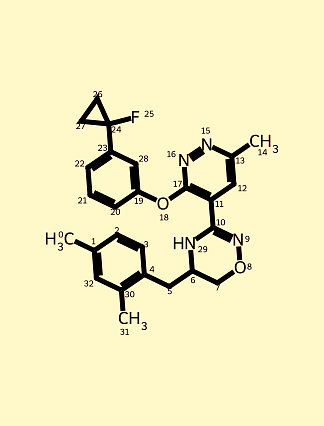 Cc1ccc(CC2CON=C(c3cc(C)nnc3Oc3cccc(C4(F)CC4)c3)N2)c(C)c1